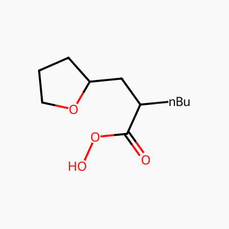 CCCCC(CC1CCCO1)C(=O)OO